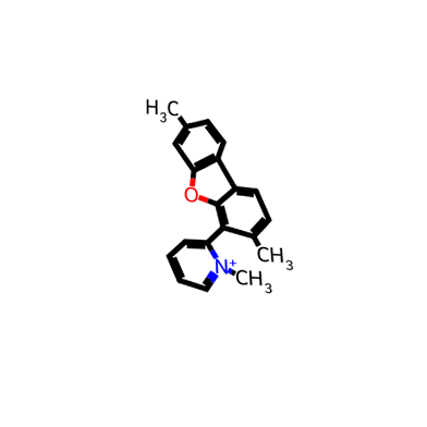 Cc1ccc2c(c1)oc1c(-c3cccc[n+]3C)c(C)ccc12